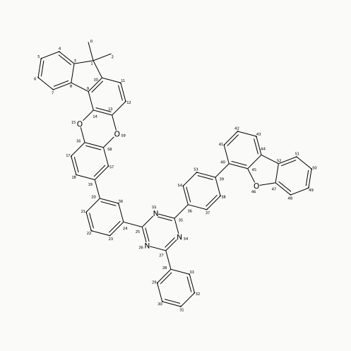 CC1(C)c2ccccc2-c2c1ccc1c2Oc2ccc(-c3cccc(-c4nc(-c5ccccc5)nc(-c5ccc(-c6cccc7c6oc6ccccc67)cc5)n4)c3)cc2O1